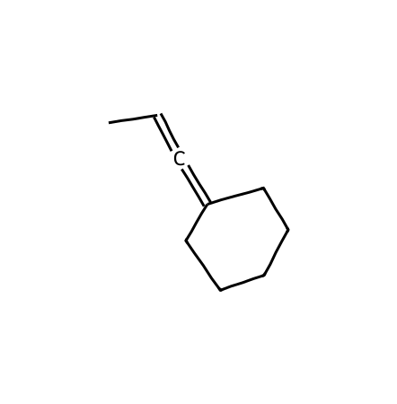 CC=C=C1CCCCC1